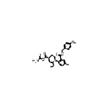 CCC1CC(C(=O)OC(N)=O)CCN1c1ccc(Br)cc1C(=O)OCc1ccc(OC)cc1